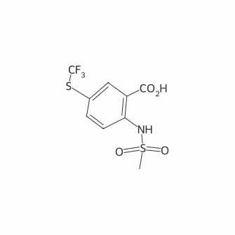 CS(=O)(=O)Nc1ccc(SC(F)(F)F)cc1C(=O)O